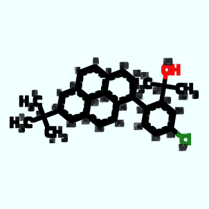 CC(C)(C)c1cc2ccc3ccc(-c4ccc(Cl)cc4C(C)(C)O)c4ccc(c1)c2c34